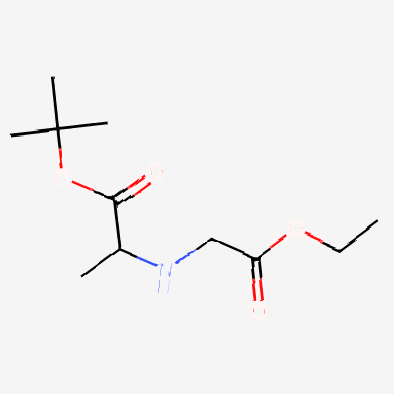 CCOC(=O)CNC(C)C(=O)OC(C)(C)C